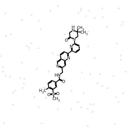 Cc1ccc(C(=O)NCc2cc3nc(-c4cccc(N5CC(C)(C)NCC5=O)n4)ccc3cn2)cc1S(C)(=O)=O